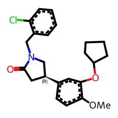 COc1ccc([C@H]2CC(=O)N(Cc3ccccc3Cl)C2)cc1OC1CCCC1